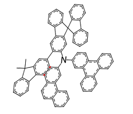 CC1(C)c2ccccc2-c2ccc(-c3cc4c(cc3N(c3ccc5ccc6ccccc6c5c3)c3ccc5c6ccccc6c6ccccc6c5c3)C3(c5ccccc5-c5ccccc53)c3ccccc3-4)cc21